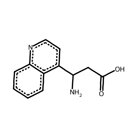 NC(CC(=O)O)c1ccnc2ccccc12